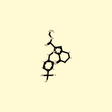 CCOC(=O)c1cc2c(n1Cc1ccc(C(F)(F)F)cc1)C(=O)CCC2